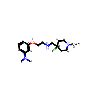 CN(C)c1cccc(OCCNCC2(F)CCN(C=O)CC2)c1